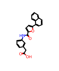 O=C(O)Cc1cccc(NC(=O)c2ccc(-c3cccc4ccccc34)o2)c1